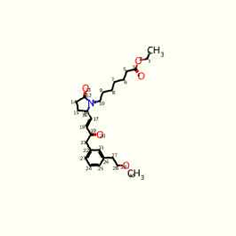 CCOC(=O)CCCCCCN1C(=O)CC[C@@H]1C=CC(=O)Cc1cccc(CCOC)c1